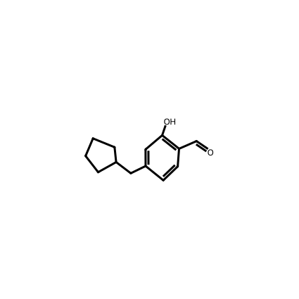 O=Cc1ccc(CC2CCCC2)cc1O